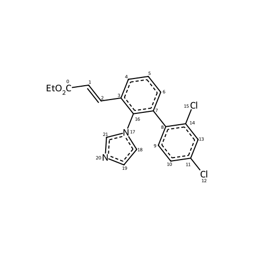 CCOC(=O)/C=C/c1cccc(-c2ccc(Cl)cc2Cl)c1-n1ccnc1